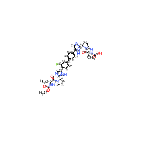 COC(=O)N[C@@H](C)C(=O)N1CCC[C@H]1c1ncc(-c2ccc(-c3ccc(-c4cnc([C@@H]5CCCN5C(=O)[C@H](C)NC(=O)O)[nH]4)cc3)cc2F)[nH]1